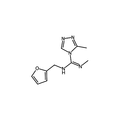 C/N=C(/NCc1ccco1)n1cnnc1C